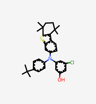 CC(C)(C)c1ccc(N(c2cc(O)cc(Cl)c2)c2ccc3c4c(sc3c2)C(C)(C)CCC4(C)C)cc1